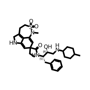 CCC1(C(=O)N[C@@H](Cc2ccccc2)[C@H](O)CNC2CCC(C)CC2)C=C2NCC3=C2C(=C1)N(C)S(=O)(=O)CC3